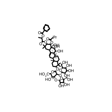 CC(C)C(=O)O[C@H]1[C@H](OC(=O)C(C)OC(=O)c2ccccc2)C(C)(C)CC2C3=CCC4[C@@]5(C)CC[C@H](O[C@@H]6OC(C(=O)O)[C@@H](O)[C@@H](O[C@@H]7O[C@@H](CO)[C@@H](O)C7O)C6O[C@@H]6OC(CO)[C@H](O)[C@@H](O)C6O)C(C)(C)C5CC[C@@]4(C)[C@]3(C)[C@@H](O)[C@@H](O)[C@]21CO